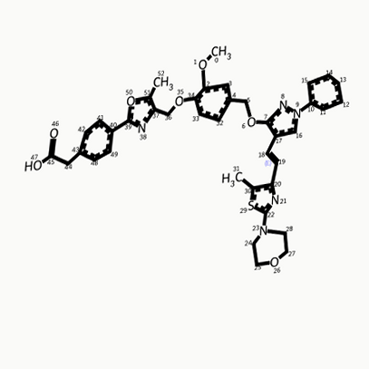 COc1cc(COc2nn(-c3ccccc3)cc2/C=C/c2nc(N3CCOCC3)sc2C)ccc1OCc1nc(-c2ccc(CC(=O)O)cc2)oc1C